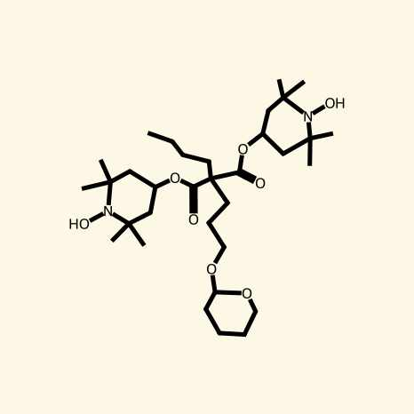 CCCCC(CCCOC1CCCCO1)(C(=O)OC1CC(C)(C)N(O)C(C)(C)C1)C(=O)OC1CC(C)(C)N(O)C(C)(C)C1